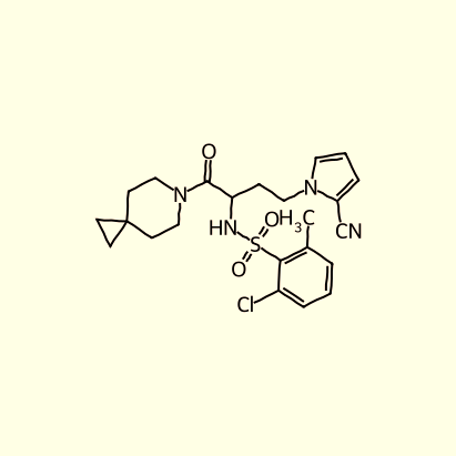 Cc1cccc(Cl)c1S(=O)(=O)NC(CCn1cccc1C#N)C(=O)N1CCC2(CC1)CC2